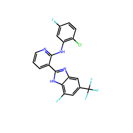 Fc1ccc(Cl)c(Nc2ncccc2-c2nc3cc(C(F)(F)F)cc(F)c3[nH]2)c1